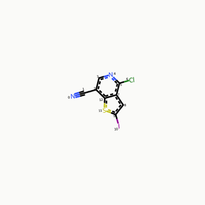 N#Cc1cnc(Cl)c2cc(I)sc12